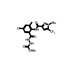 COC(=O)NNC(=O)c1cc(Cl)cc(C)c1NC(=O)c1cc(C(F)(F)F)n(C(C)(C)C)n1